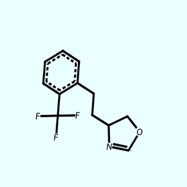 FC(F)(F)c1ccccc1CCC1CO[C]=N1